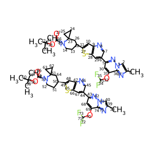 Cc1cn2nc(-c3cnc4cc(C5CCN(C(=O)OC(C)(C)C)C6(CC6)C5)sc4c3)cc(OC(F)F)c2n1.Cc1cn2nc(-c3cnc4cc([C@H]5CCN(C(=O)OC(C)(C)C)C6(CC6)C5)sc4c3)cc(OC(F)F)c2n1